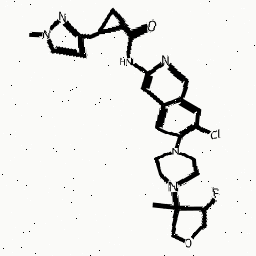 Cn1ccc(C2CC2C(=O)Nc2cc3cc(N4CCN(C5(C)COCC5F)CC4)c(Cl)cc3cn2)n1